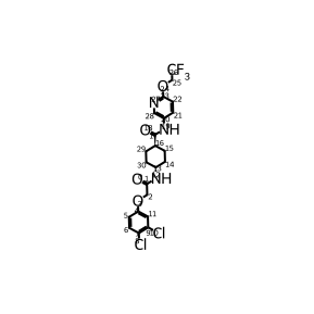 O=C(COc1ccc(Cl)c(Cl)c1)N[C@H]1CC[C@H](C(=O)Nc2ccc(OCC(F)(F)F)nc2)CC1